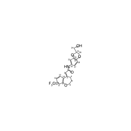 O=C(/C=C1\CCCOc2cc(C(F)(F)F)ccc21)Nc1ccc2c(c1)OC(CO)CO2